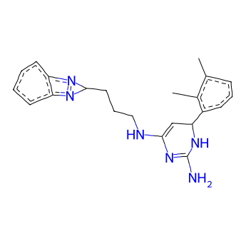 Cc1cccc(C2C=C(NCCCC3n4c5ccccc5n43)N=C(N)N2)c1C